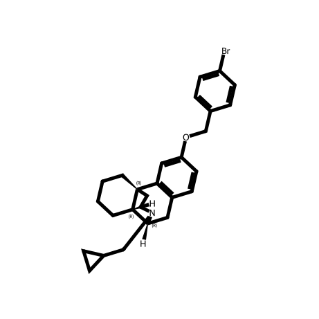 Brc1ccc(COc2ccc3c(c2)[C@@]24CCCC[C@H]2[C@@H](C3)N(CC2CC2)CC4)cc1